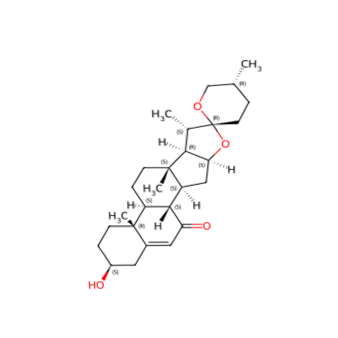 C[C@@H]1CC[C@@]2(OC1)O[C@H]1C[C@H]3[C@@H]4C(=O)C=C5C[C@@H](O)CC[C@]5(C)[C@H]4CC[C@]3(C)[C@H]1[C@@H]2C